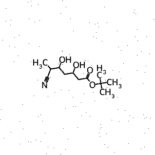 CC(C#N)C(O)CC(O)CC(=O)OC(C)(C)C